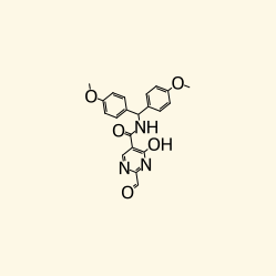 COc1ccc(C(NC(=O)c2cnc(C=O)nc2O)c2ccc(OC)cc2)cc1